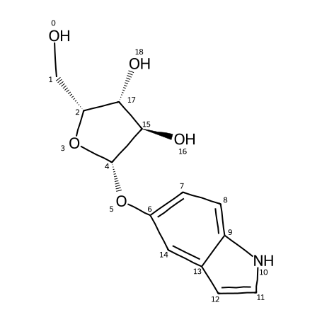 OC[C@H]1O[C@@H](Oc2ccc3[nH]ccc3c2)[C@H](O)[C@H]1O